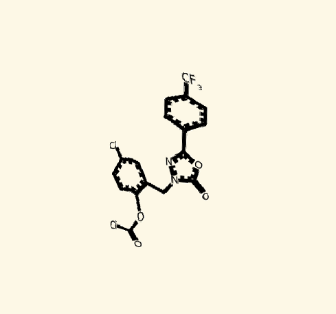 O=C(Cl)Oc1ccc(Cl)cc1Cn1nc(-c2ccc(C(F)(F)F)cc2)oc1=O